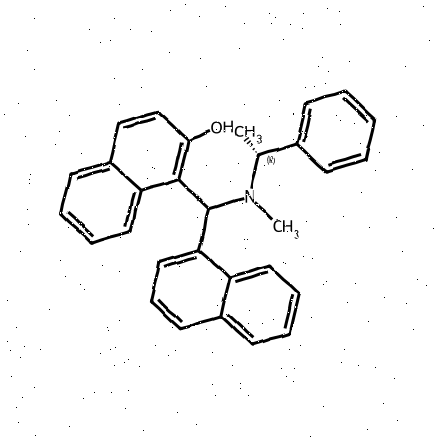 C[C@H](c1ccccc1)N(C)C(c1cccc2ccccc12)c1c(O)ccc2ccccc12